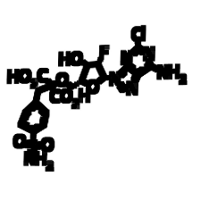 Nc1nc(Cl)nc2c1ncn2[C@@H]1O[C@H](COC(Cc2ccc(S(N)(=O)=O)cc2)(C(=O)O)C(=O)O)[C@@H](O)[C@@H]1F